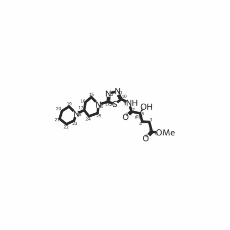 COC(=O)CC[C@@H](O)C(=O)Nc1nnc(N2CCC(N3CCCCC3)CC2)s1